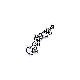 COC(=O)[C@@H](CC1=C/C/C=N\N(S(=O)(=O)CC[Si](C)(C)C)C/C=C\1)NC(=O)N1CCC(N2CC/C=C\C=C/CNC2=O)CC1